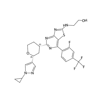 OCCNc1nc2nc([C@H]3CCO[C@@H](c4cnn(C5CC5)c4)C3)nc(-c3ccc(C(F)(F)F)cc3F)c2s1